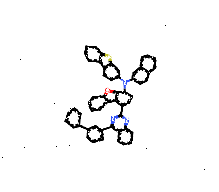 c1ccc(-c2cccc(-c3nc(-c4ccc(N(c5ccc6ccccc6c5)c5ccc6c(c5)sc5ccccc56)c5oc6ccccc6c45)nc4ccccc34)c2)cc1